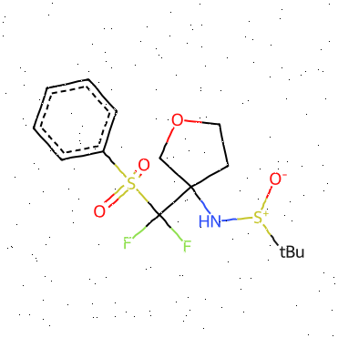 CC(C)(C)[S+]([O-])NC1(C(F)(F)S(=O)(=O)c2ccccc2)CCOC1